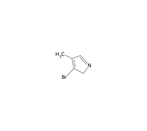 CC1=C(Br)CN=C1